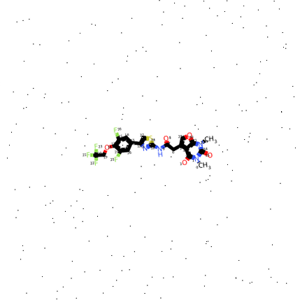 Cn1c(=O)c2c(CC(=O)Nc3nc(-c4cc(F)c(OCC(F)(F)F)c(F)c4)cs3)coc2n(C)c1=O